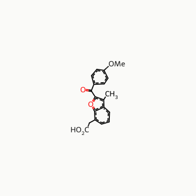 COc1ccc(C(=O)c2oc3c(CC(=O)O)cccc3c2C)cc1